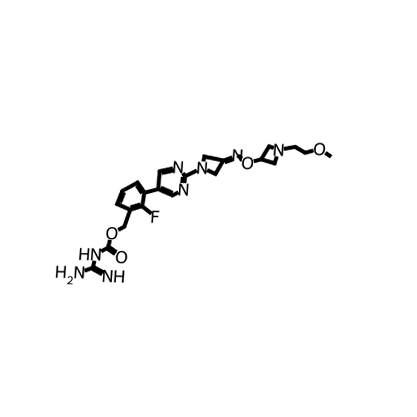 COCCN1CC(ON=C2CN(c3ncc(-c4cccc(COC(=O)NC(=N)N)c4F)cn3)C2)C1